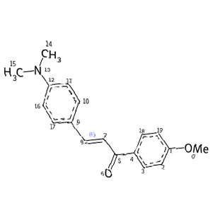 COc1ccc(C(=O)/C=C/c2ccc(N(C)C)cc2)cc1